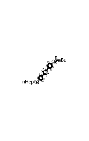 CCCCCCCOc1ccc(-c2cnc(-c3ccc(OCC(F)CCCC)cc3)nc2)cc1